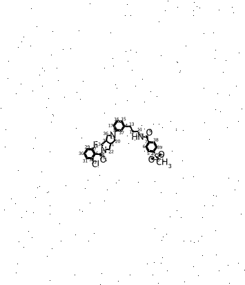 CS(=O)(=O)c1ccc(C(=O)NCCCc2cccc(N3CC4CN(C(=O)c5c(F)cccc5Cl)CC4C3)c2)cc1